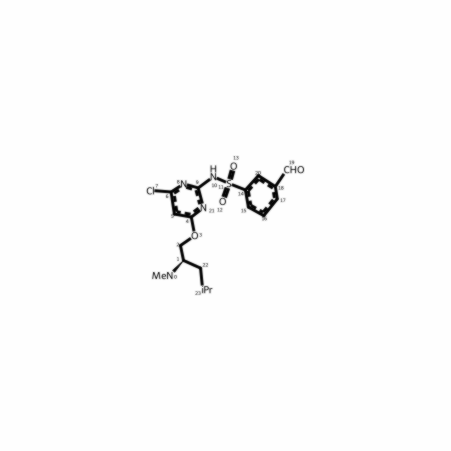 CN[C@@H](COc1cc(Cl)nc(NS(=O)(=O)c2cccc(C=O)c2)n1)CC(C)C